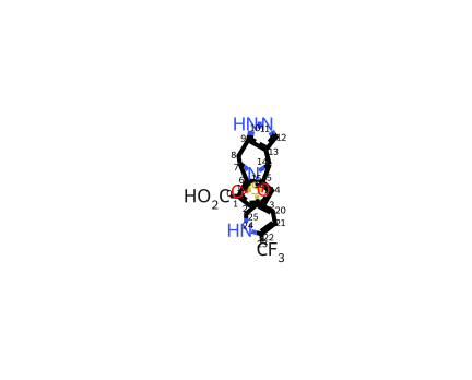 O=C(O)c1cccc2c1C1Cc3[nH]ncc3C2N1S(=O)(=O)C1=CC=C(C(F)(F)F)NC1